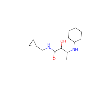 CC(NC1CCCCC1)C(O)C(=O)NCC1CC1